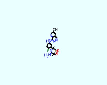 CC1(C)C(N)=N[C@](C)(c2cc(Nc3nncc4cc(C#N)cnc34)ccc2F)CS1(=O)=O